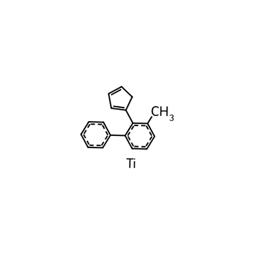 Cc1cccc(-c2ccccc2)c1C1=CC=CC1.[Ti]